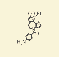 CCOC(=O)c1cc2c(s1)-c1sccc1N(C(=O)c1ccc(N)cc1)CC2